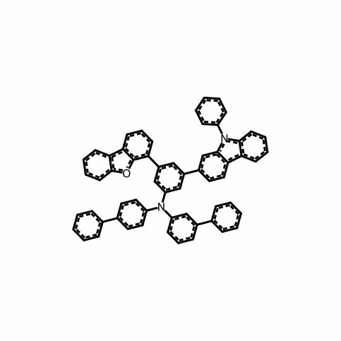 c1ccc(-c2ccc(N(c3cccc(-c4ccccc4)c3)c3cc(-c4ccc5c6ccccc6n(-c6ccccc6)c5c4)cc(-c4cccc5c4oc4ccccc45)c3)cc2)cc1